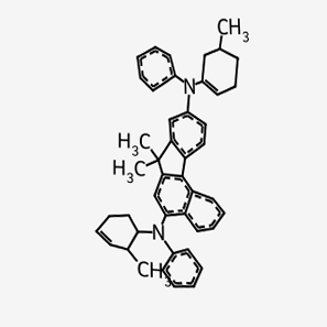 CC1CCC=C(N(c2ccccc2)c2ccc3c(c2)C(C)(C)c2cc(N(c4ccccc4)C4CCC=CC4C)c4ccccc4c2-3)C1